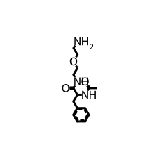 CC(=O)NC(Cc1ccccc1)C(=O)NCCOCCN